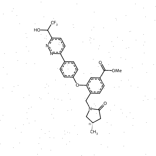 COC(=O)c1ccc(CN2C[C@@H](C)CC2=O)c(Oc2ccc(-c3ccc(C(O)C(F)(F)F)nn3)cc2)c1